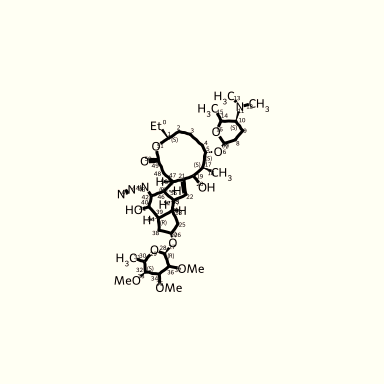 CC[C@H]1CCC[C@H](O[C@H]2CC[C@H](N(C)C)C(C)O2)[C@@H](C)C(O)C2=C[C@H]3[C@@H]4C[C@H](O[C@@H]5OC(C)[C@H](OC)C(OC)C5OC)C[C@H]4C(O)C(N=[N+]=[N-])[C@H]3[C@@H]2CC(=O)O1